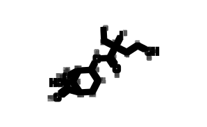 CCC(I)(CCO)C(=O)OC1CCC2C(=O)OC1C2O